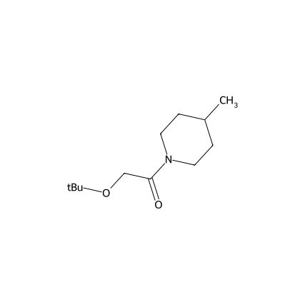 CC1CCN(C(=O)COC(C)(C)C)CC1